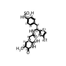 CCc1csc([C@H](Cc2ccc(NS(=O)(=O)O)cc2)NC(=O)CN2C=C(C)C(=O)NC2O)n1